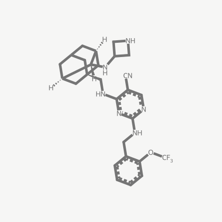 N#Cc1cnc(NCc2ccccc2OC(F)(F)F)nc1NC[C@]12CC3C[C@H](C1)[C@@H](NC1CNC1)[C@@H](C3)C2